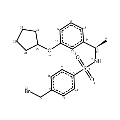 C[C@@H](NS(=O)(=O)c1ccc(CBr)cc1)c1cccc(OC2CCCC2)c1